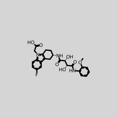 COc1ccccc1NC(=O)[C@H](O)[C@@H](O)C(=O)N[C@H]1CCc2c(c3cc(F)ccc3n2CC(=O)O)C1